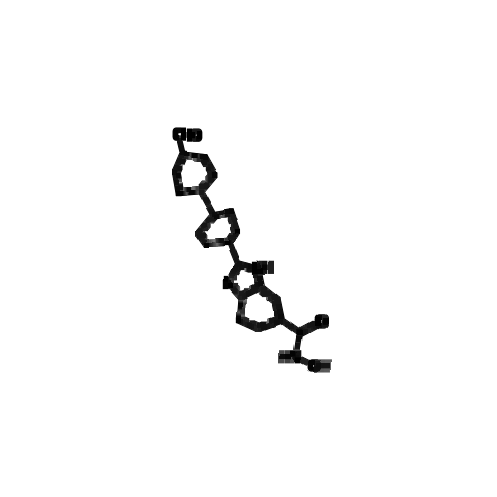 O=Cc1ccc(-c2ccc(-c3nc4ccc(C(=O)NO)cc4[nH]3)cc2)cc1